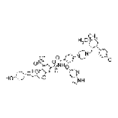 CC1(C)CCC(c2ccc(Cl)cc2)=C(CN2CCN(c3ccc(C(=O)NS(=O)(=O)c4cc5c(c([N+](=O)[O-])c4)NC(COC4CCC(O)CC4)CO5)c(Oc4cnc5[nH]ccc5c4)c3)CC2)C1